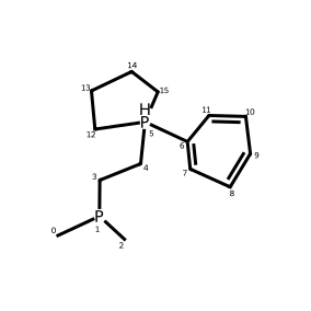 CP(C)CC[PH]1(c2ccccc2)CCCC1